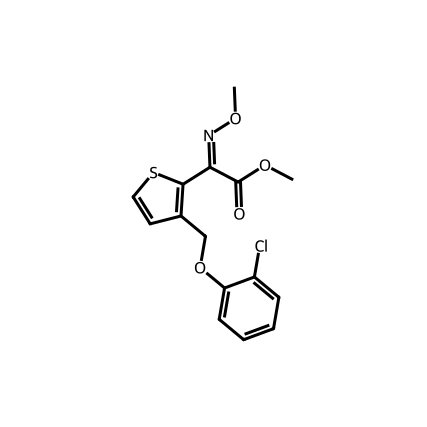 CO/N=C(\C(=O)OC)c1sccc1COc1ccccc1Cl